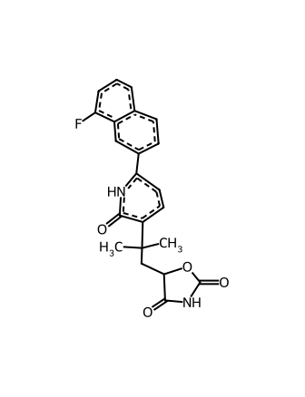 CC(C)(CC1OC(=O)NC1=O)c1ccc(-c2ccc3cccc(F)c3c2)[nH]c1=O